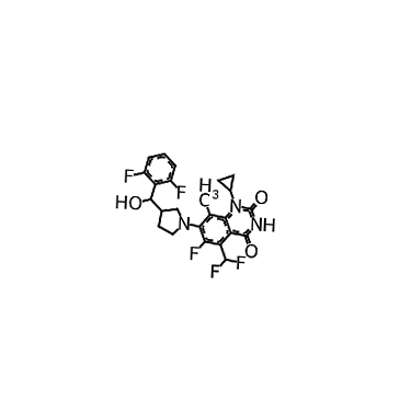 Cc1c(N2CCC(C(O)c3c(F)cccc3F)C2)c(F)c(C(F)F)c2c(=O)[nH]c(=O)n(C3CC3)c12